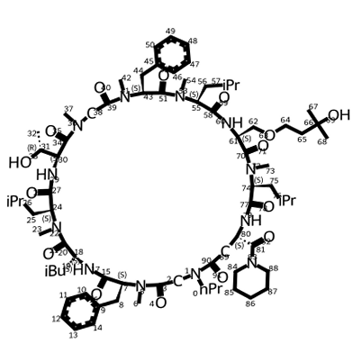 CCCN1CC(=O)N(C)[C@@H](Cc2ccccc2)C(=O)N[C@@H]([C@@H](C)CC)C(=O)N(C)[C@@H](CC(C)C)C(=O)N[C@@H]([C@@H](C)O)C(=O)N(C)CC(=O)N(C)[C@@H](Cc2ccccc2)C(=O)N(C)[C@@H](CC(C)C)C(=O)N[C@@H](COCCC(C)(C)O)C(=O)N(C)[C@@H](CC(C)C)C(=O)N[C@H](C(=O)N2CCCCC2)CC1=O